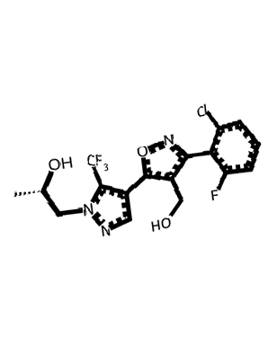 C[C@H](O)Cn1ncc(-c2onc(-c3c(F)cccc3Cl)c2CO)c1C(F)(F)F